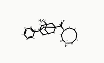 CC12CC3CC(C(=O)N4CCCCCNCC4)(C1)CC(c1ccccc1)(C3)C2